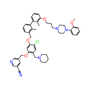 COc1ccccc1N1CCN(CCCOc2cccc(-c3cccc(COc4cc(OCc5cncc(C#N)c5)c(CN5CCCCC5)cc4Cl)c3C)c2C)CC1